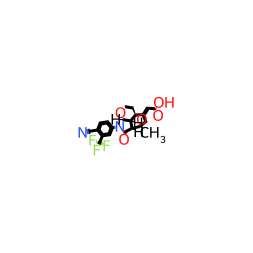 C[C@@]12C/C(=C\C(=O)O)[C@]3(CCO[C@H]4[C@@H]3[C@@H]1C(=O)N4c1ccc(C#N)c(C(F)(F)F)c1)O2